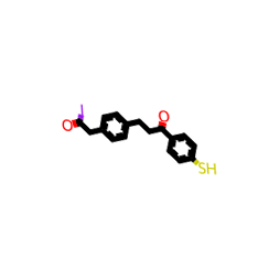 O=C(I)Cc1ccc(CCC(=O)c2ccc(S)cc2)cc1